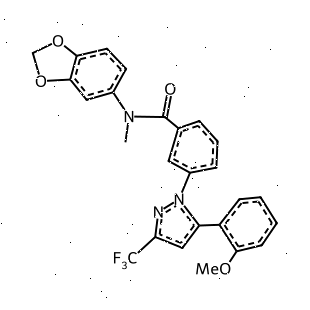 COc1ccccc1-c1cc(C(F)(F)F)nn1-c1cccc(C(=O)N(C)c2ccc3c(c2)OCO3)c1